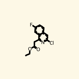 CCOC(=O)Cc1nc(Cl)cc2ccc(F)cc12